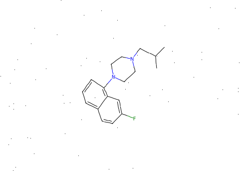 C[C](C)CN1CCN(c2cccc3ccc(F)cc23)CC1